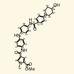 COC(=O)c1cc(C(=O)Nc2ccc(Nc3ccc(NC(=O)c4ccc(N5CCC(O)CC5)cc4)cc3)cc2)cn1C